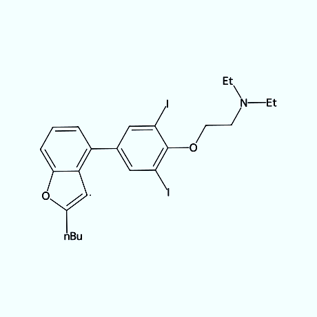 CCCCc1[c]c2c(-c3cc(I)c(OCCN(CC)CC)c(I)c3)cccc2o1